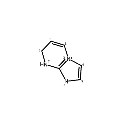 C1=C[N+]2=C([N]C=C2)NC1